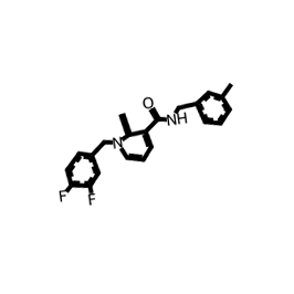 C=C1C(C(=O)NCc2cccc(C)c2)=CC=CN1Cc1ccc(F)c(F)c1